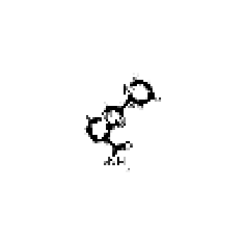 NC(=O)c1cccn2cc(-c3ccccn3)nc12